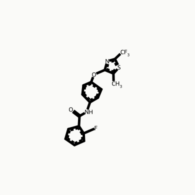 Cc1sc(C(F)(F)F)nc1Oc1ccc(NC(=O)c2ccccc2F)cc1